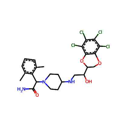 Cc1cccc(C)c1C(C(N)=O)N1CCC(NCC(O)C2COc3c(Cl)c(Cl)c(Cl)c(Cl)c3O2)CC1